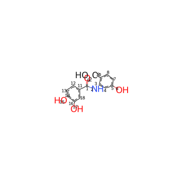 O=C(Nc1cc(O)ccc1C(=O)O)c1ccc(O)c(O)c1